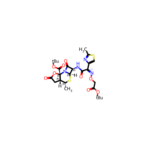 Cc1nc(/C(=N/OCC(=O)OC(C)(C)C)C(=O)N[C@@H]2C(=O)N3[C@@H]2S[C@H](C)[C@@H]2CC(=O)O[C@@]23C(=O)OC(C)(C)C)cs1